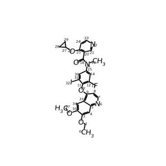 CCOc1cc2nccc(Oc3c(F)cc(N(C)C(=O)c4cnccc4OC4CC4)cc3I)c2cc1OC